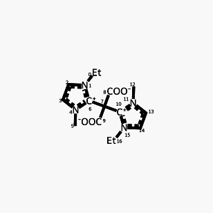 CCn1ccn(C)[c+]1C(C(=O)[O-])(C(=O)[O-])[c+]1n(C)ccn1CC